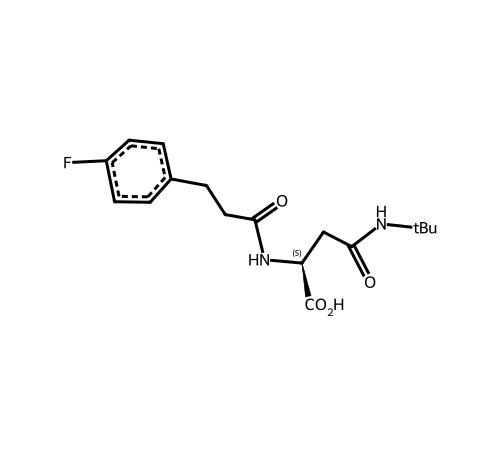 CC(C)(C)NC(=O)C[C@H](NC(=O)CCc1ccc(F)cc1)C(=O)O